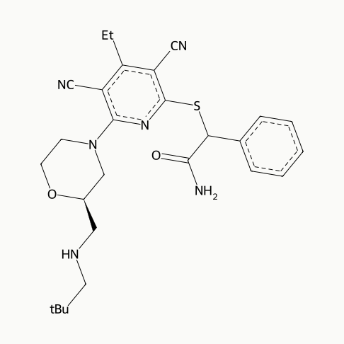 CCc1c(C#N)c(SC(C(N)=O)c2ccccc2)nc(N2CCO[C@H](CNCC(C)(C)C)C2)c1C#N